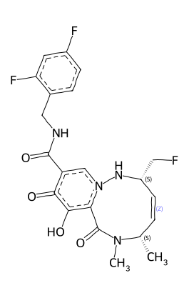 C[C@H]1/C=C\[C@@H](CF)Nn2cc(C(=O)NCc3ccc(F)cc3F)c(=O)c(O)c2C(=O)N1C